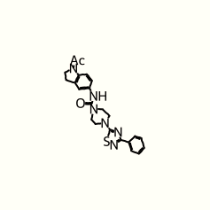 CC(=O)N1CCc2cc(NC(=O)N3CCN(c4nc(-c5ccccc5)ns4)CC3)ccc21